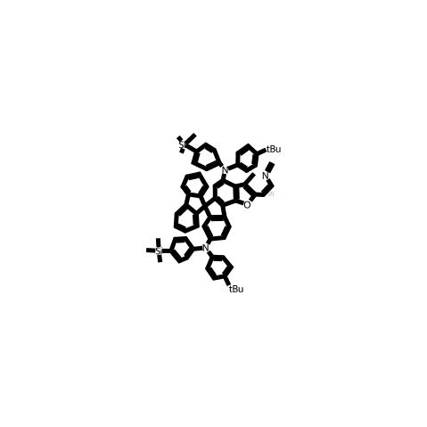 C=N/C=C\c1oc2c3c(cc(N(c4ccc(C(C)(C)C)cc4)c4ccc([Si](C)(C)C)cc4)c2c1C)C1(c2ccccc2-c2ccccc21)c1cc(N(c2ccc(C(C)(C)C)cc2)c2ccc([Si](C)(C)C)cc2)ccc1-3